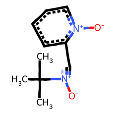 CC(C)(C)/[N+]([O-])=C\c1cccc[n+]1[O-]